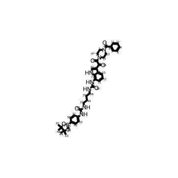 C[C@@H]1CN(C(=O)c2ccccc2)CCN1C(=O)C(=O)c1c[nH]c2c(NC(=O)NCCCCNC(=O)Nc3ccc(B4OC(C)(C)C(C)(C)O4)cc3)cccc12